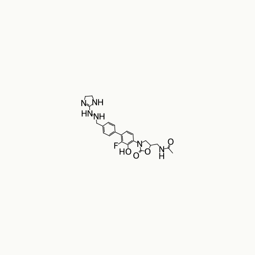 CC(=O)NCC1CN(c2ccc(-c3ccc(CNNC4=NCCN4)cc3)c(F)c2O)C(=O)O1